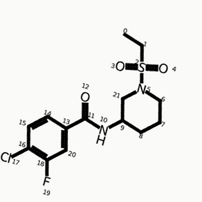 CCS(=O)(=O)N1CCCC(NC(=O)c2ccc(Cl)c(F)c2)C1